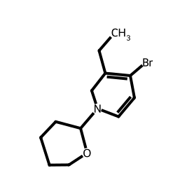 CCC1=C(Br)C=CN(C2CCCCO2)C1